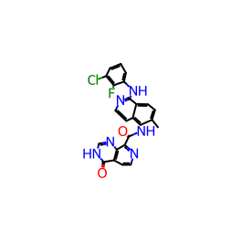 Cc1ccc2c(Nc3cccc(Cl)c3F)nccc2c1NC(=O)c1nccc2c(=O)[nH]cnc12